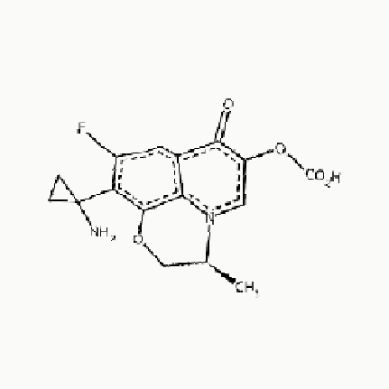 C[C@H]1COc2c(C3(N)CC3)c(F)cc3c(=O)c(OC(=O)O)cn1c23